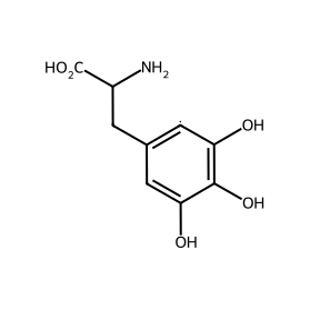 NC(Cc1[c]c(O)c(O)c(O)c1)C(=O)O